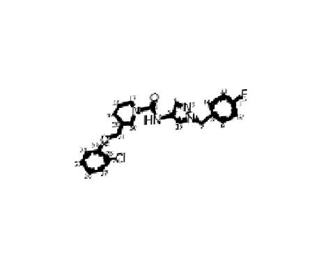 O=C(Nc1cnn(Cc2ccc(F)cc2)c1)N1CCCC(COc2ccccc2Cl)C1